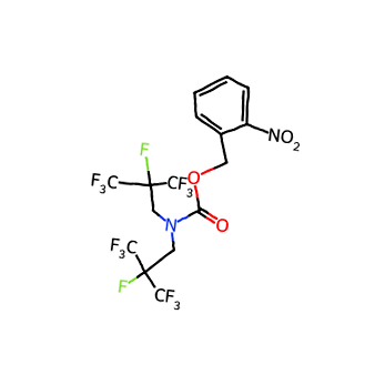 O=C(OCc1ccccc1[N+](=O)[O-])N(CC(F)(C(F)(F)F)C(F)(F)F)CC(F)(C(F)(F)F)C(F)(F)F